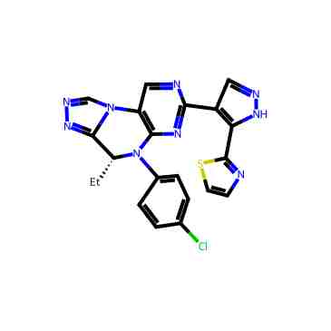 CC[C@@H]1c2nncn2-c2cnc(-c3cn[nH]c3-c3nccs3)nc2N1c1ccc(Cl)cc1